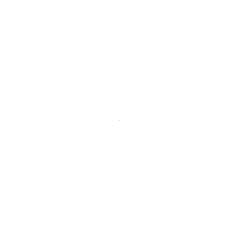 CCCCC(CC)C(CCC)(CCCC)C([O])=O